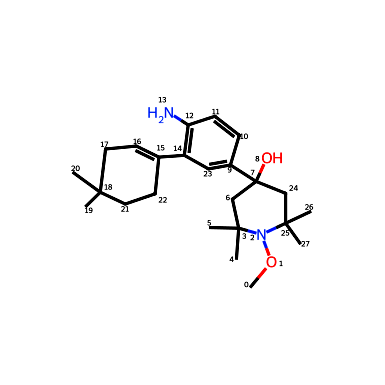 CON1C(C)(C)CC(O)(c2ccc(N)c(C3=CCC(C)(C)CC3)c2)CC1(C)C